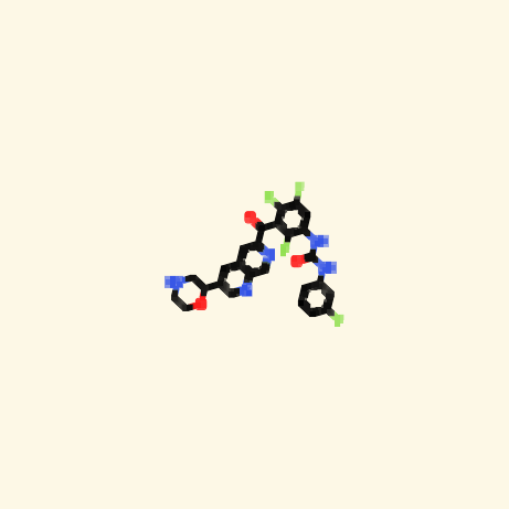 O=C(Nc1cccc(F)c1)Nc1cc(F)c(F)c(C(=O)c2cc3cc(C4CNCCO4)cnc3cn2)c1F